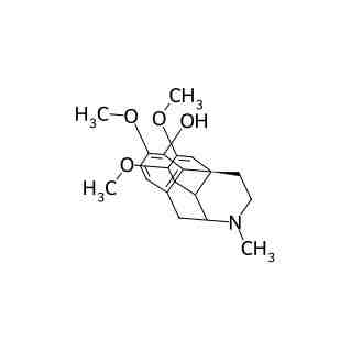 COC1=C[C@@]23CCN(C)C(Cc4ccc(OC)c(O)c42)C3CC1OC